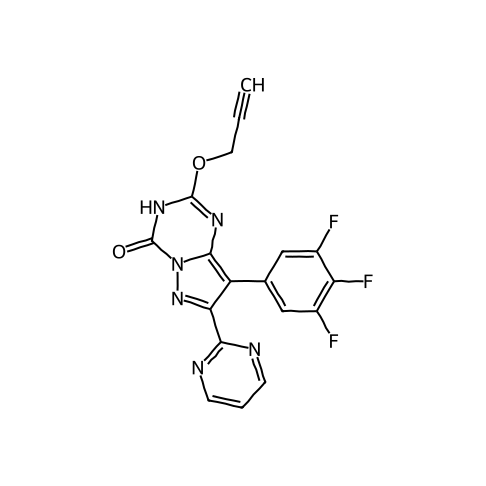 C#CCOc1nc2c(-c3cc(F)c(F)c(F)c3)c(-c3ncccn3)nn2c(=O)[nH]1